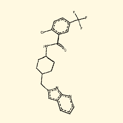 O=C(NC1CCC(Cn2cc3cccnc3n2)CC1)c1cc(C(F)(F)F)ccc1Cl